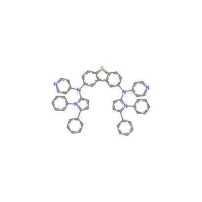 c1ccc(-c2ccc(N(c3ccncc3)c3ccc4sc5ccc(N(c6ccncc6)c6ccc(-c7ccccc7)n6-c6ccccc6)cc5c4c3)n2-c2ccccc2)cc1